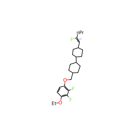 CCC/C(F)=C/C1CCC(C2CCC(COc3ccc(OCC)c(F)c3F)CC2)CC1